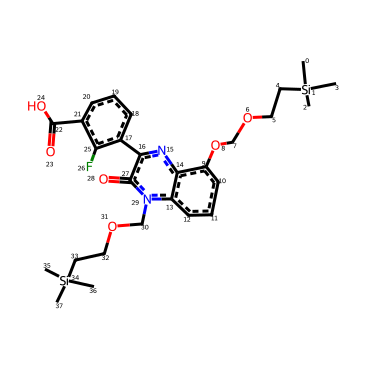 C[Si](C)(C)CCOCOc1cccc2c1nc(-c1cccc(C(=O)O)c1F)c(=O)n2COCC[Si](C)(C)C